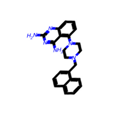 Nc1nc(N)c2c(N3CCN(Cc4cccc5ccccc45)CC3)cccc2n1